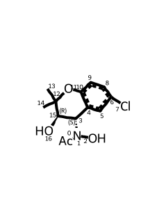 CC(=O)N(O)[C@H]1c2cc(Cl)ccc2OC(C)(C)[C@@H]1O